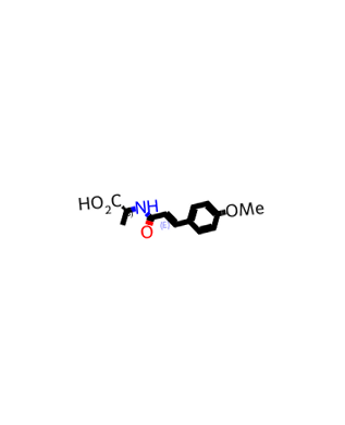 COc1ccc(/C=C/C(=O)N[C@@H](C)C(=O)O)cc1